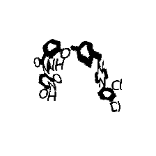 O=C1CCC(n2[nH]c3c(OCc4ccc(CN5CCN(c6ccc(Cl)cc6Cl)CC5)cc4)cccc3c2=O)C(=O)N1